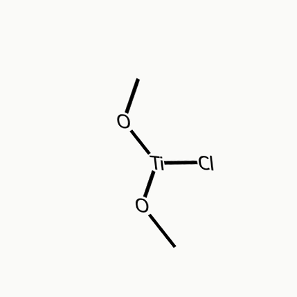 C[O][Ti]([Cl])[O]C